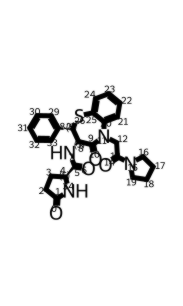 O=C1CC[C@@H](C(=O)N[C@H]2C(=O)N(CC(=O)N3CCCC3)c3ccccc3S[C@H]2c2ccccc2)N1